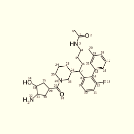 CC(=O)NCCCC(c1cccc(F)c1-c1cccc(C)c1)C1CCCN(C(=O)C2CC(N)C(O)C2)C1